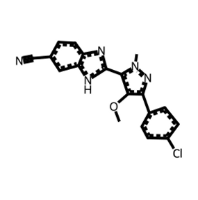 COc1c(-c2ccc(Cl)cc2)nn(C)c1-c1nc2ccc(C#N)cc2[nH]1